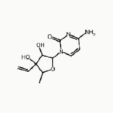 C=CC1(O)C(C)OC(n2ccc(N)nc2=O)C1O